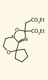 CCOC(=O)CC1(C(=O)OCC)N=C2N(CCOC23CCCC3)O1